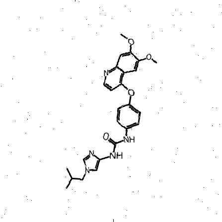 COc1cc2nccc(Oc3ccc(NC(=O)Nc4cn(CC(C)C)cn4)cc3)c2cc1OC